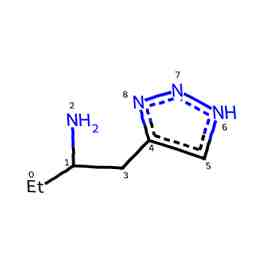 CCC(N)Cc1c[nH]nn1